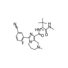 CNC(=O)[C@@H](NC(=O)c1nc(-c2cc(C#N)ccc2F)n2c1CN(C)CCC2)C(C)(C)C